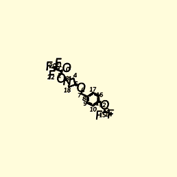 O=C(ON1CC(OCc2ccc(OC(F)F)cc2)C1)C(F)(F)F